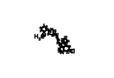 COc1ccccc1N1CCN(CC#CCN(c2ccnc3cc(Cl)ccc23)n2cccc2)CC1